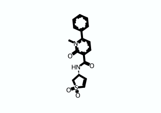 Cn1c(-c2ccccc2)ccc(C(=O)N[C@@H]2C=CS(=O)(=O)C2)c1=O